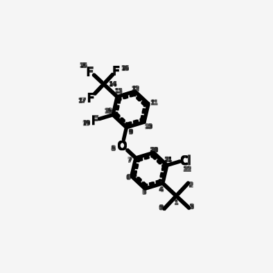 CC(C)(C)c1ccc(Oc2cccc(C(F)(F)F)c2F)cc1Cl